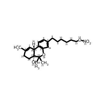 CC1=C[C@@H]2c3ccc(CCCCCCO[N+](=O)[O-])cc3OC(C)(C)[C@@]2(O)CC1